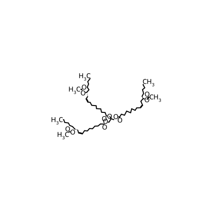 CCCCCC[C@H](C/C=C\CCCCCCCC(=O)OCC(COC(=O)CCCCCCC/C=C\C[C@@H](CCCCCC)OC(C)=O)OC(=O)CCCCCCC/C=C\C[C@@H](CCCCCC)OC(C)=O)OC(C)=O